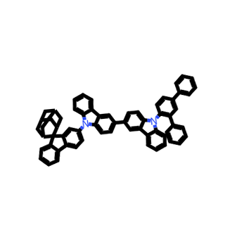 c1ccc(-c2ccc(-n3c4ccccc4c4cc(-c5ccc6c(c5)c5ccccc5n6-c5ccc6c(c5)C5(c7ccccc7-6)C6CC7CC(C6)CC5C7)ccc43)c(-c3ccccc3)c2)cc1